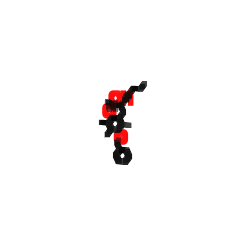 CCCC#CC1Cc2c(C)c(OCc3ccccc3)c(C)c(C)c2O[C@]1(C)O